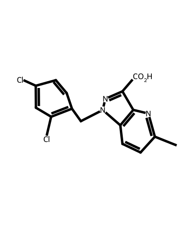 Cc1ccc2c(n1)c(C(=O)O)nn2Cc1ccc(Cl)cc1Cl